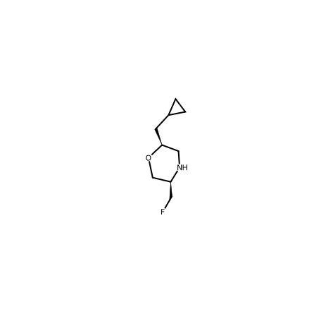 FC[C@H]1CO[C@@H](CC2CC2)CN1